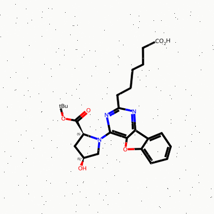 CC(C)(C)OC(=O)[C@@H]1C[C@H](O)CN1c1nc(CCCCCC(=O)O)nc2c1oc1ccccc12